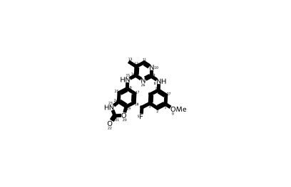 COc1cc(CF)cc(Nc2ncc(C)c(Nc3ccc4oc(=O)[nH]c4c3)n2)c1